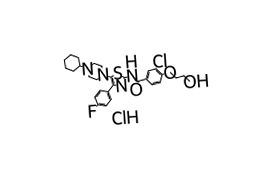 Cl.O=C(Nc1nc(-c2ccc(F)cc2)c(N2CCN(C3CCCCC3)CC2)s1)c1ccc(OCCO)c(Cl)c1